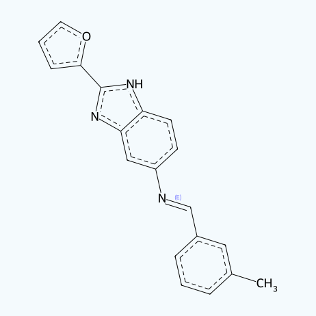 Cc1cccc(/C=N/c2ccc3[nH]c(-c4ccco4)nc3c2)c1